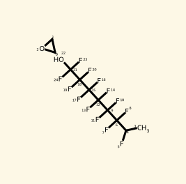 C1CO1.CC(F)C(F)(F)C(F)(F)C(F)(F)C(F)(F)C(F)(F)C(O)(F)F